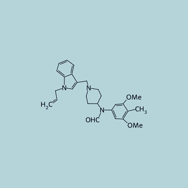 C=CCn1cc(CN2CCC(N(C=O)c3cc(OC)c(C)c(OC)c3)CC2)c2ccccc21